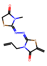 C=CCN1C(=O)C(=C)S/C1=N/N=C1/SCC(=O)N1C